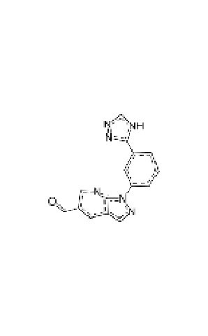 O=Cc1cnc2c(cnn2-c2cccc(-c3nnc[nH]3)c2)c1